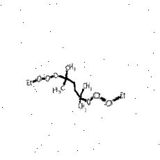 CCOOOC(C)(C)CCC(C)(C)OOOCC